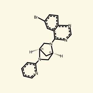 Brc1ccc2ncnc(N3C[C@H]4C[C@@H]3CN4c3ccccn3)c2c1